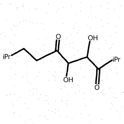 CC(C)CCC(=O)C(O)C(O)C(=O)C(C)C